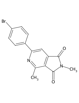 Cc1nc(-c2ccc(Br)cc2)cc2c1C(=O)N(C)C2=O